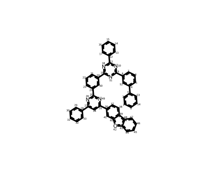 c1ccc(-c2cccc(-c3nc(-c4ccccc4)nc(-c4cccc(-c5nc(-c6ccccc6)cc(-c6ccc7c(c6)oc6ccccc67)n5)c4)n3)c2)cc1